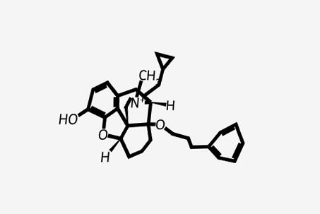 C[N+]1(CC2CC2)CC[C@]23c4c5ccc(O)c4O[C@H]2CCCC3(OCCCc2ccccc2)[C@H]1C5